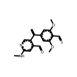 C=C(c1cc(OC)c(C=S)c(OC)c1)c1cnc(NC)cc1C=O